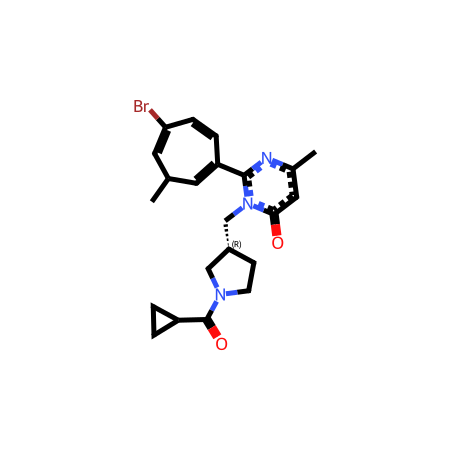 Cc1cc(=O)n(C[C@@H]2CCN(C(=O)C3CC3)C2)c(C2=CC(C)C=C(Br)C=C2)n1